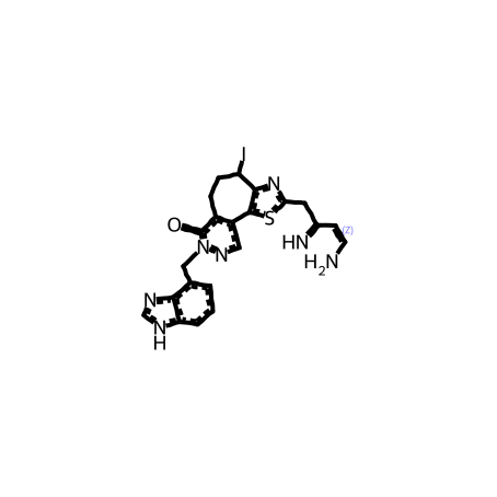 N=C(/C=C\N)Cc1nc2c(s1)-c1cnn(Cc3cccc4[nH]cnc34)c(=O)c1CCC2I